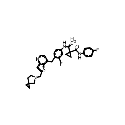 C=C(Nc1ccc(Cc2ccnc3cc(CN4CCC5(CC5)C4)sc23)c(F)c1)C1(C(=O)Nc2ccc(F)cc2)CC1